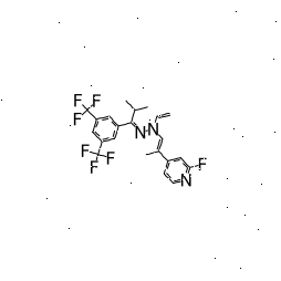 C=CN(/C=C(\C)c1ccnc(F)c1)/N=C(/c1cc(C(F)(F)F)cc(C(F)(F)F)c1)C(C)C